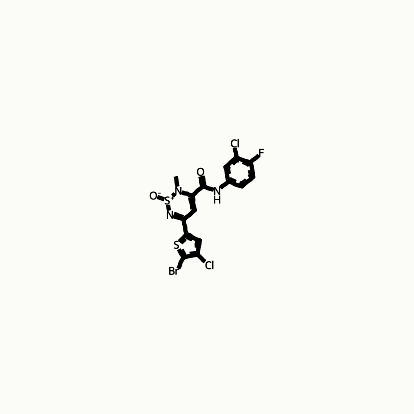 CN1C(C(=O)Nc2ccc(F)c(Cl)c2)=CC(c2cc(Cl)c(Br)s2)=N[S+]1[O-]